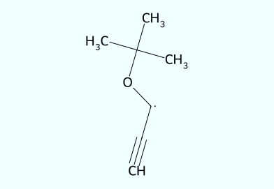 C#C[CH]OC(C)(C)C